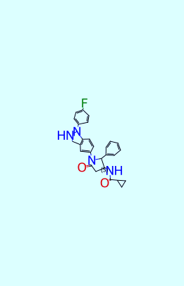 O=C(N[C@H]1CC(=O)N(c2ccc3c(c2)CNN3c2ccc(F)cc2)C1c1ccccc1)C1CC1